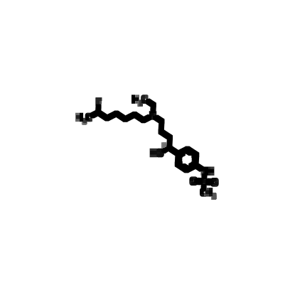 CCN(CCCCCC(C)F)CCC[C@H](O)c1ccc(NS(C)(=O)=O)cc1